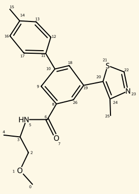 COCC(C)NC(=O)c1cc(-c2ccc(C)cc2)cc(-c2scnc2C)c1